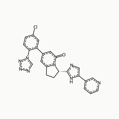 O=c1cc(-c2cc(Cl)ccc2-n2cnnn2)cc2n1[C@H](c1ncc(-c3cccnc3)[nH]1)CC2